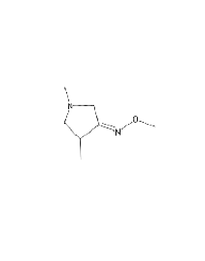 CON=C1CN(C)CC1C